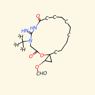 [2H]C([2H])([2H])N1CC(=O)OC2(CCCCCCCCCC(=O)NC1=N)CC2OC=O